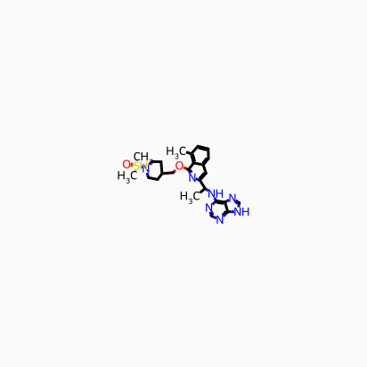 Cc1cccc2cc(C(C)Nc3ncnc4[nH]cnc34)nc(OCC3CCN([SH](C)(C)=O)CC3)c12